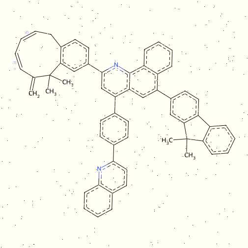 C=C1/C=C\C=C/Cc2ccc(-c3cc(-c4ccc(-c5ccc6ccccc6n5)cc4)c4cc(-c5ccc6c(c5)C(C)(C)c5ccccc5-6)c5ccccc5c4n3)cc2C1(C)C